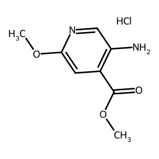 COC(=O)c1cc(OC)ncc1N.Cl